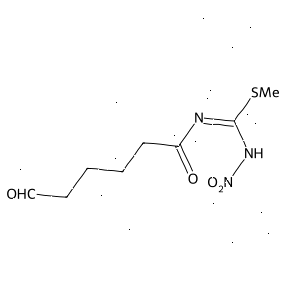 CSC(=NC(=O)CCCCC=O)N[N+](=O)[O-]